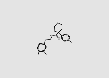 Cc1ccc(C2(C(=O)NCCc3ccc(C)c(C)c3)CCCCC2)cc1